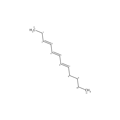 [CH2]CC=CC=CC=CCCCC